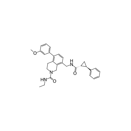 CCNC(=O)N1CCc2c(-c3cccc(OC)c3)ccc(CNC(=O)[C@@H]3C[C@H]3c3ccccc3)c2C1